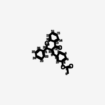 CC(=O)Oc1cccc(C=C2C(=O)c3ccccc3OC2c2ccccc2)c1